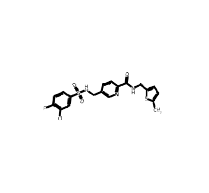 Cc1ccc(CNC(=O)c2ccc(CNS(=O)(=O)c3ccc(F)c(Cl)c3)cn2)s1